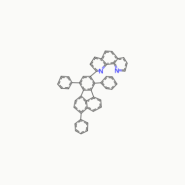 c1ccc(-c2cc(-c3ccc4ccc5cccnc5c4n3)c(-c3ccccc3)c3c2-c2ccc(-c4ccccc4)c4cccc-3c24)cc1